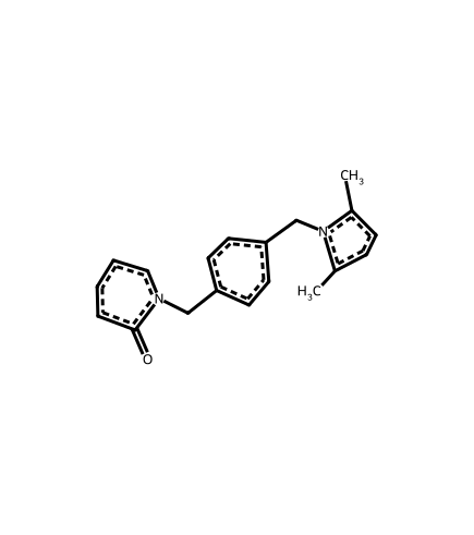 Cc1ccc(C)n1Cc1ccc(Cn2ccccc2=O)cc1